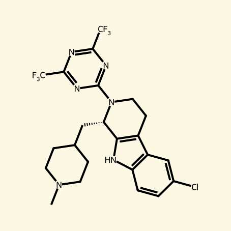 CN1CCC(C[C@H]2c3[nH]c4ccc(Cl)cc4c3CCN2c2nc(C(F)(F)F)nc(C(F)(F)F)n2)CC1